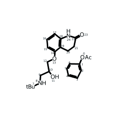 CC(=O)Oc1ccccc1.CC(C)(C)NCC(O)COc1cccc2c1CCC(=O)N2